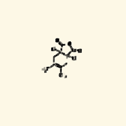 CC1=C(C)CC2(Cl)C(=O)OC(=O)C2(Cl)C1